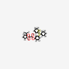 CC(C)C1(OC(=O)C(=O)Oc2cccc([SH](c3ccccc3)c3ccccc3)c2)CCCC1